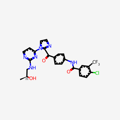 C[C@H](O)CNc1nccc(-n2ccnc2C(=O)c2ccc(NC(=O)c3ccc(Cl)c(C(F)(F)F)c3)cc2)n1